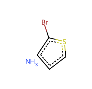 Brc1cccs1.N